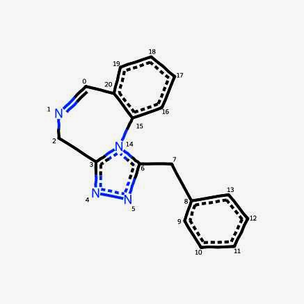 C1=NCc2nnc(Cc3ccccc3)n2-c2ccccc21